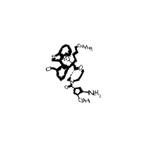 COCCCC[C@](O)(c1cccc(Cl)c1-c1csc2ccccc12)[C@H]1CN(C(=O)[C@H]2C[C@@H](N)[C@@H](O)C2)CCO1